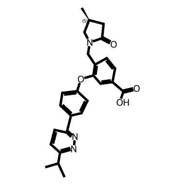 CC(C)c1ccc(-c2ccc(Oc3cc(C(=O)O)ccc3CN3C[C@@H](C)CC3=O)cc2)nn1